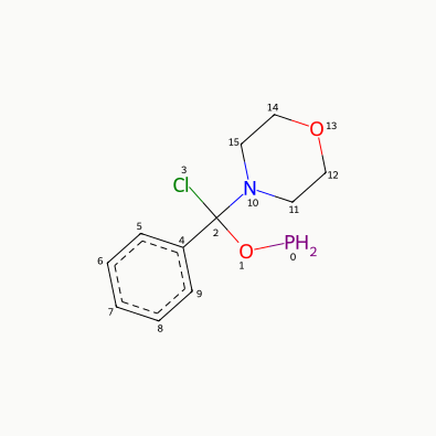 POC(Cl)(c1ccccc1)N1CCOCC1